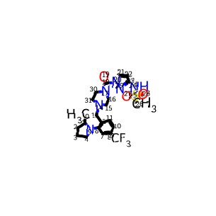 CC1CCCN1c1cc(C(F)(F)F)ccc1CN1CCN(C(=O)n2ccc(NS(C)(=O)=O)n2)CC1